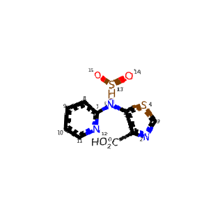 O=C(O)c1ncsc1N(c1ccccn1)[SH](=O)=O